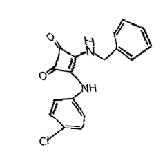 O=c1c(NCc2ccccc2)c(Nc2ccc(Cl)cc2)c1=O